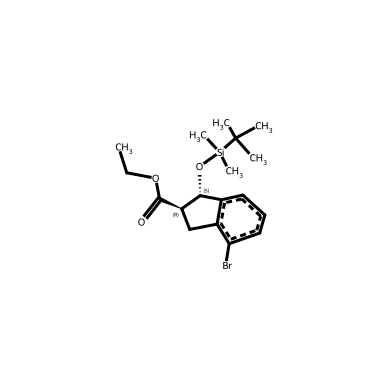 CCOC(=O)[C@@H]1Cc2c(Br)cccc2[C@H]1O[Si](C)(C)C(C)(C)C